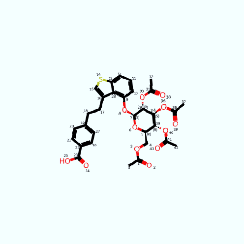 CC(=O)OC[C@H]1O[C@@H](Oc2cccc3scc(CCc4ccc(C(=O)O)cc4)c23)[C@H](OC(C)=O)[C@@H](OC(C)=O)[C@@H]1OC(C)=O